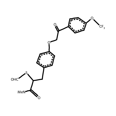 CNC(=O)C(Cc1ccc(OCC(=O)c2ccc(OC(F)(F)F)cc2)cc1)SC=O